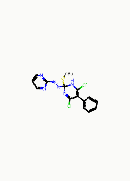 CCCCSC1(N=Nc2ncccn2)N=C(Cl)C(c2ccccc2)=C(Cl)N1